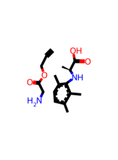 C#CCOC(=O)CN.Cc1ccc(C)c(N[C@@H](C)C(=O)O)c1C